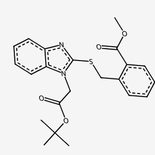 COC(=O)c1ccccc1CSc1nc2ccccc2n1CC(=O)OC(C)(C)C